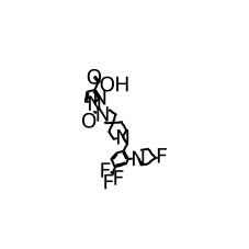 O=C(O)c1ccn(C(=O)N2CCC3(CCN(Cc4ccc(C(F)(F)F)cc4N4CCC(F)CC4)CC3)C2)n1